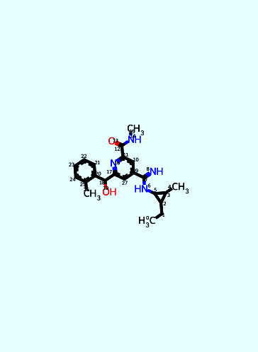 CCC1C(C)C1NC(=N)c1cc(C(=O)NC)nc(C(O)c2ccccc2C)c1